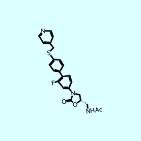 CC(=O)NC[C@H]1CN(c2ccc(-c3ccc(SCc4ccncc4)cc3)c(F)c2)C(=O)O1